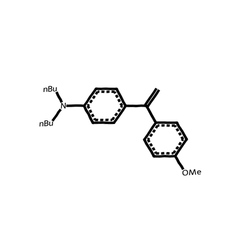 C=C(c1ccc(OC)cc1)c1ccc(N(CCCC)CCCC)cc1